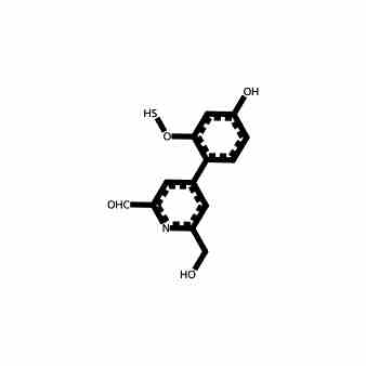 O=Cc1cc(-c2ccc(O)cc2OS)cc(CO)n1